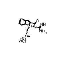 CN(C)CCn1c(C(=O)NC(=N)N)cc2ccccc21.Cl.Cl